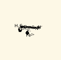 C[N+](C)(CCOCCOCCOCCN=[N+]=[N-])C[c-]1cccc1.[Fe+2].c1cc[cH-]c1